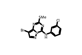 CSc1nc(Nc2cccc(Cl)c2)n2ncc(Br)c2n1